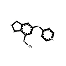 COc1cc(Oc2ccncc2)cc2c1CCC2